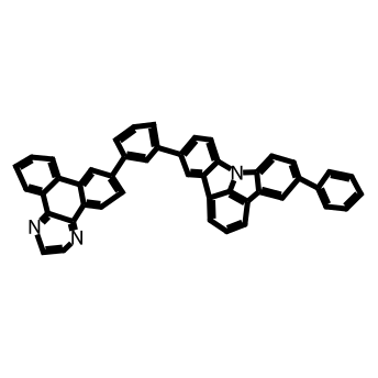 c1ccc(-c2ccc3c(c2)c2cccc4c5cc(-c6cccc(-c7ccc8c(c7)c7ccccc7c7nccnc87)c6)ccc5n3c24)cc1